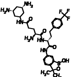 CC1(C)OB(O)c2cc(NC(=O)[C@@H](CCc3ccc(C(F)(F)F)cc3)NC(=O)[C@@H](N)CCC(=O)NC3C[C@@H](N)C[C@@H](N)C3)ccc21